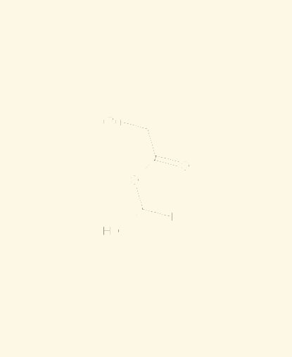 CC(I)OC(=O)CC(C)(C)C